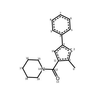 Cc1sc(-c2ccccc2)cc1C(=O)N1CCCCC1